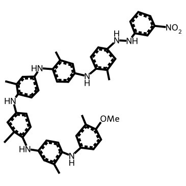 COc1ccc(Nc2ccc(Nc3ccc(Nc4ccc(Nc5ccc(Nc6ccc(NNc7cccc([N+](=O)[O-])c7)cc6C)cc5C)cc4C)cc3C)cc2C)cc1C